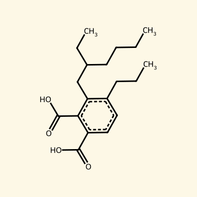 CCCCC(CC)Cc1c(CCC)ccc(C(=O)O)c1C(=O)O